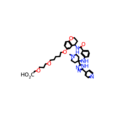 CN1CCC(Nc2cccc(C(=O)NC3CCOc4ccc(OCCCCCOCCCOCC(=O)O)cc43)c2)(c2nnc(-c3ccncc3)[nH]2)CC1